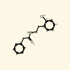 O=C([CH]c1ccccc1)NCCc1ccccc1Cl